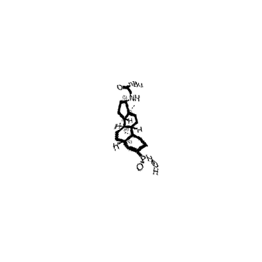 CCCCC(=O)N[C@H]1CC[C@H]2[C@@H]3CC[C@H]4C=C([PH](=O)O)CC[C@]4(C)[C@H]3CC[C@]12C